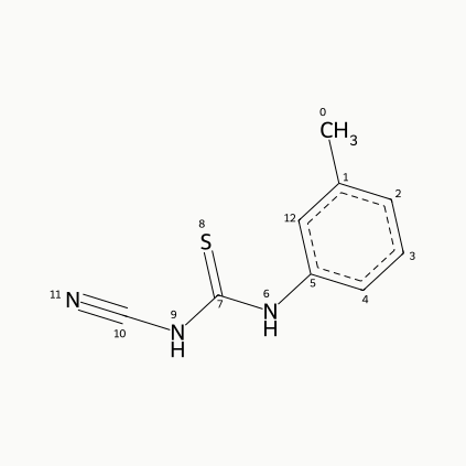 Cc1cccc(NC(=S)NC#N)c1